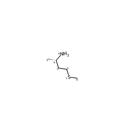 CSCC[C@H](C)N